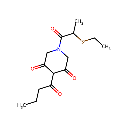 CCCC(=O)C1C(=O)CN(C(=O)C(C)SCC)CC1=O